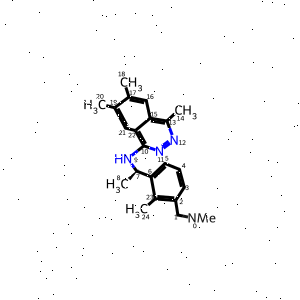 CNCc1cccc([C@@H](C)Nc2nnc(C)c3cc(C)c(C)cc23)c1C